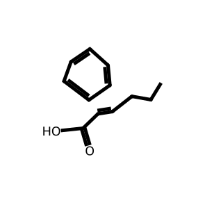 CCCC=CC(=O)O.c1ccccc1